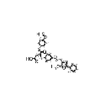 COc1ccc(SC(=O)N(CC(=O)O)Cc2ccc(OCCc3nc(-c4ccccc4)oc3C)cc2)cc1